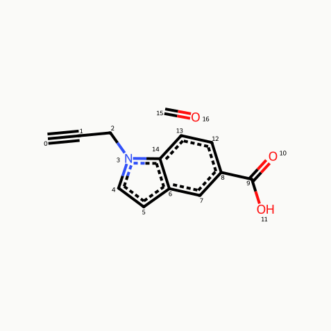 C#CCn1ccc2cc(C(=O)O)ccc21.C=O